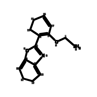 BCOC1=C(c2nc3c(o2)=CCCC=3)CCC=C1